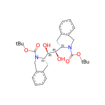 CC(C)(C)OC(=O)N1Cc2ccccc2C[C@H]1[C@@H](O)[C@H](O)[C@@H]1Cc2ccccc2CN1C(=O)OC(C)(C)C